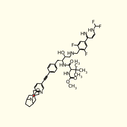 COC(=O)NC(C(=O)N[C@@H](Cc1ccc(C#Cc2ccc(N3CC4CCC(C3)N4C3COC3)nc2)cc1)[C@@H](O)CNCc1c(F)cc(C(=N)/C=C\NC(F)F)cc1F)C(C)(C)C